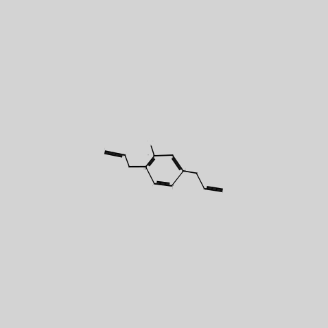 C=CCc1[c]cc(CC=C)c(O)c1